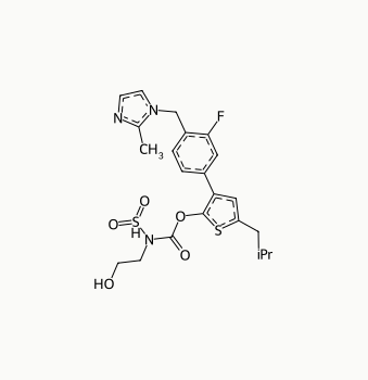 Cc1nccn1Cc1ccc(-c2cc(CC(C)C)sc2OC(=O)N(CCO)[SH](=O)=O)cc1F